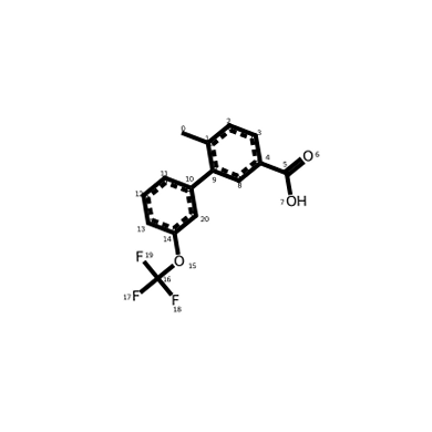 Cc1ccc(C(=O)O)cc1-c1cccc(OC(F)(F)F)c1